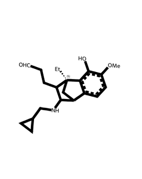 CC[C@@]12CC(c3ccc(OC)c(O)c31)C(NCC1CC1)C2CCC=O